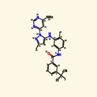 CCC(C)(C#N)c1cccc(C(=O)Nc2ccc(C)c(Nc3cc(C)nn3-c3cc(NC)ncn3)c2)c1